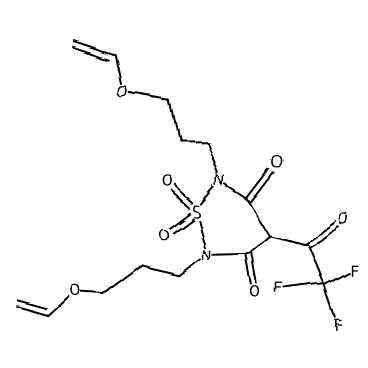 C=COCCCN1C(=O)C(C(=O)C(F)(F)F)C(=O)N(CCCOC=C)S1(=O)=O